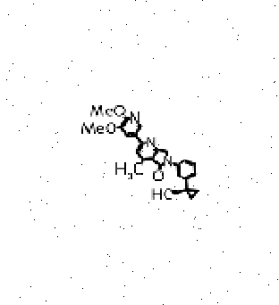 C#CC1(c2cccc(N3Cc4nc(-c5cnc(OC)c(OC)c5)cc(C)c4C3=O)c2)CC1